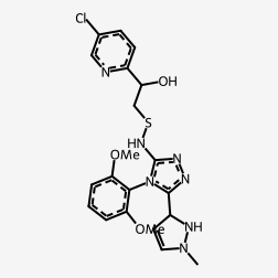 COc1cccc(OC)c1-n1c(NSCC(O)c2ccc(Cl)cn2)nnc1C1C=CN(C)N1